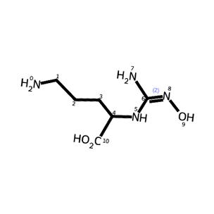 NCCCC(N/C(N)=N\O)C(=O)O